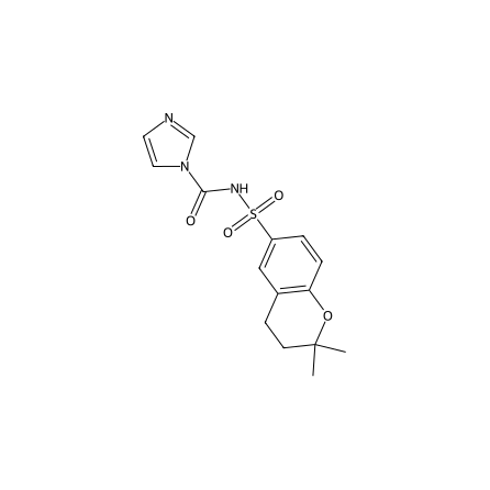 CC1(C)CCc2cc(S(=O)(=O)NC(=O)n3ccnc3)ccc2O1